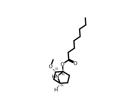 CCCCCCCC(=O)O[C@]12CC[C@@H](C[C@@H]1OC)N2